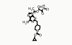 CCNC(=O)C(O)O[C@H](C)n1cnc2c(N)nc(CC3CCN(C(=O)OC4CC4)CC3)nc21